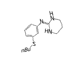 CCCCSc1cccc(N=C2NCCCN2)c1